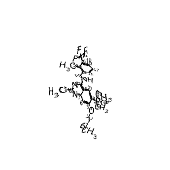 COCCOc1cc2nc(C)nc(NCc3cccc(C(F)(F)F)c3C)c2cc1P(C)(C)=O